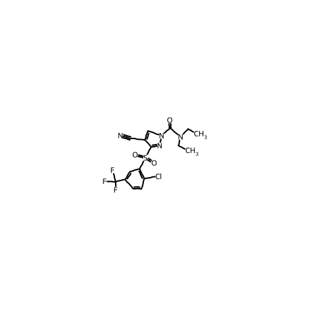 CCN(CC)C(=O)n1cc(C#N)c(S(=O)(=O)c2cc(C(F)(F)F)ccc2Cl)n1